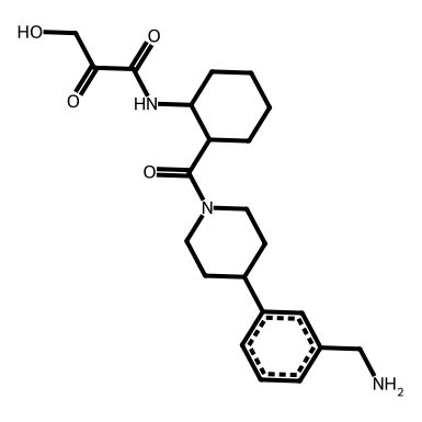 NCc1cccc(C2CCN(C(=O)C3CCCCC3NC(=O)C(=O)CO)CC2)c1